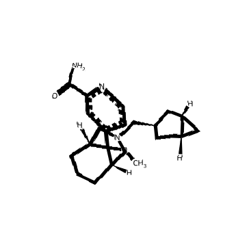 COC1(c2ccnc(C(N)=O)c2)[C@@H]2CCC[C@H]1CN(C[C@H]1C[C@@H]3C[C@@H]3C1)C2